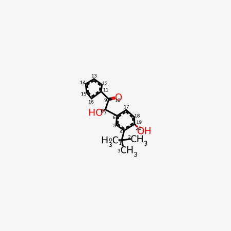 CC(C)(C)c1cc(C(O)C(=O)c2ccccc2)ccc1O